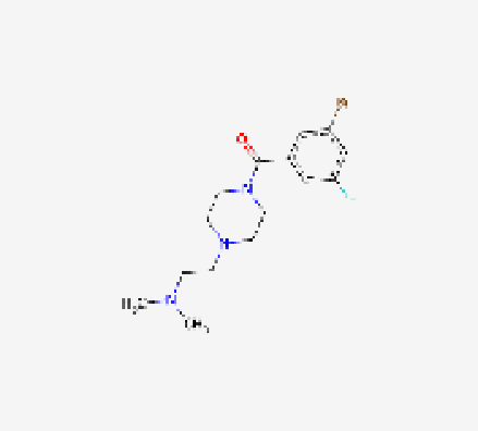 CN(C)CCN1CCN(C(=O)c2cc(F)cc(Br)c2)CC1